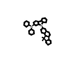 CC1(C)c2ccccc2-c2ccc3cc(-n4c5ccccc5c5ccc(N(c6ccccc6)c6ccccc6)cc54)ccc3c21